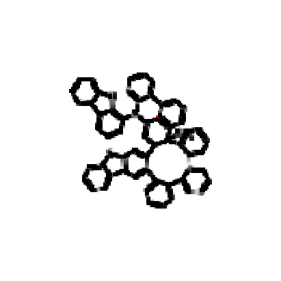 CC12C=CC(N(c3ccccc3-c3ccccc3)c3cccc4c3oc3ccccc34)=CC1c1cc3sc4ccccc4c3cc1-c1ccccc1-c1ccccc1-c1ccccc12